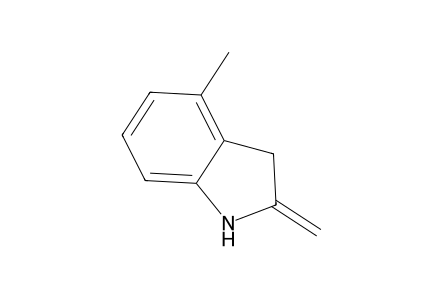 C=C1Cc2c(C)cccc2N1